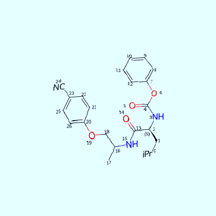 CC(C)C[C@H](NC(=O)Oc1ccccc1)C(=O)NC(C)COc1ccc(C#N)cc1